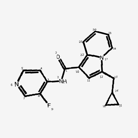 O=C(Nc1ccncc1F)c1cc(CC2CC2)n2ccccc12